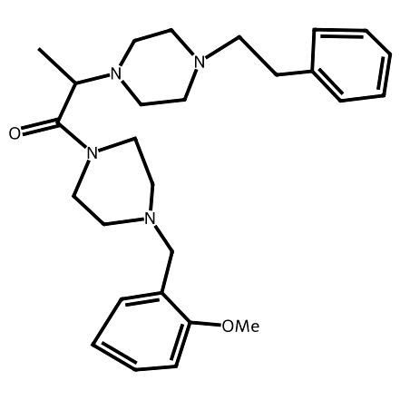 COc1ccccc1CN1CCN(C(=O)C(C)N2CCN(CCc3ccccc3)CC2)CC1